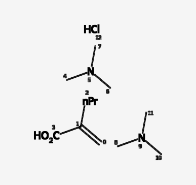 C=C(CCC)C(=O)O.CN(C)C.CN(C)C.Cl